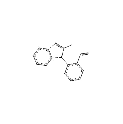 CC1=Cc2ccccc2C1c1ccccc1C=O